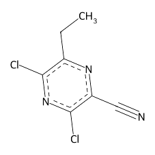 CCc1nc(C#N)c(Cl)nc1Cl